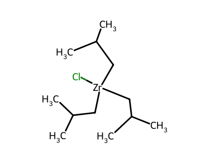 CC(C)[CH2][Zr]([Cl])([CH2]C(C)C)[CH2]C(C)C